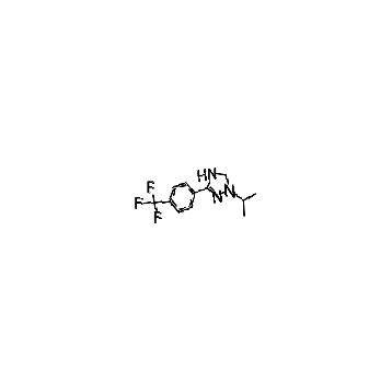 CC(C)N1CNC(c2ccc(C(F)(F)F)cc2)=N1